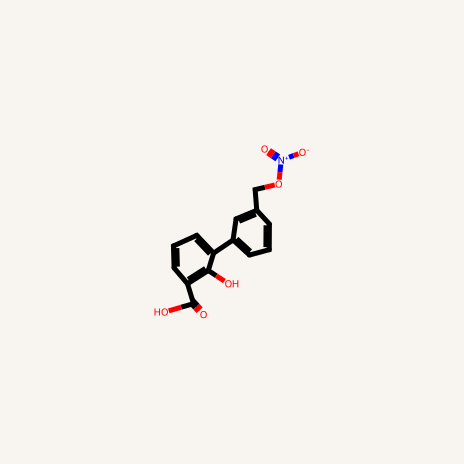 O=C(O)c1cccc(-c2cccc(CO[N+](=O)[O-])c2)c1O